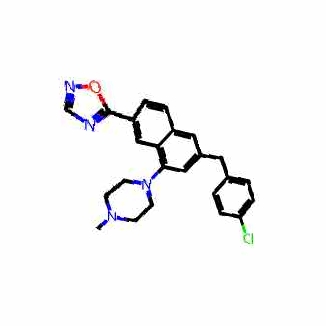 CN1CCN(c2cc(Cc3ccc(Cl)cc3)cc3ccc(-c4ncno4)cc23)CC1